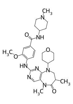 COc1cc(C(=O)NC2CCN(C)CC2)ccc1Nc1ncc2c(n1)N(C1CCOCC1)CC(C)C(=O)N2C